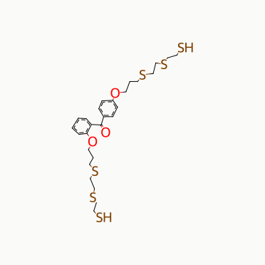 O=C(c1ccc(OCCCSCCSCCS)cc1)c1ccccc1OCCCSCCSCCS